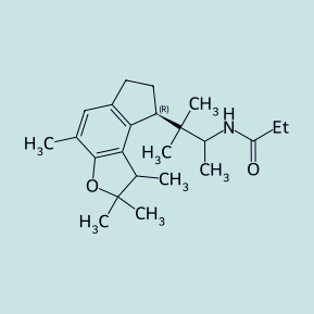 CCC(=O)NC(C)C(C)(C)[C@@H]1CCc2cc(C)c3c(c21)C(C)C(C)(C)O3